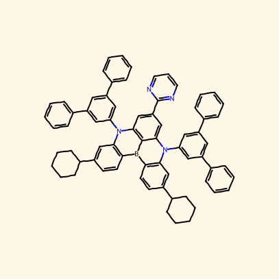 c1ccc(-c2cc(-c3ccccc3)cc(N3c4cc(C5CCCCC5)ccc4B4c5ccc(C6CCCCC6)cc5N(c5cc(-c6ccccc6)cc(-c6ccccc6)c5)c5cc(-c6ncccn6)cc3c54)c2)cc1